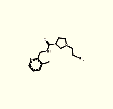 NCCN1CC[C@H](C(=O)NCc2ncccc2F)C1